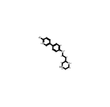 Fc1ccc(-c2ccc(OCCC3CNCCO3)cc2)cn1